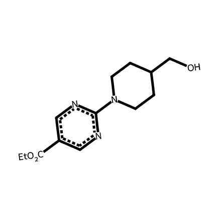 CCOC(=O)c1cnc(N2CCC(CO)CC2)nc1